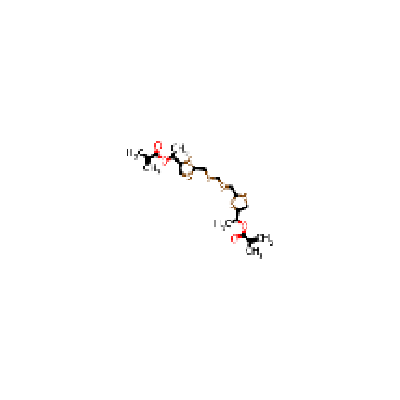 C=C(C)C(=O)OC(C)C1CSC(CSCSCC2SCC(C(C)OC(=O)C(=C)C)S2)S1